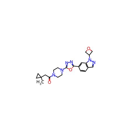 CC1(CC(=O)N2CCN(c3nnc(-c4ccc5cnn(C6COC6)c5c4)o3)CC2)CC1